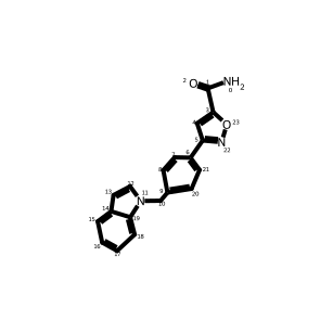 NC(=O)c1cc(-c2ccc(Cn3ccc4ccccc43)cc2)no1